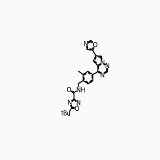 Cc1cc(-c2ncnn3cc(-c4cnco4)cc23)ccc1CNC(=O)c1noc(C(C)(C)C)n1